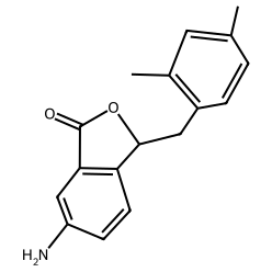 Cc1ccc(CC2OC(=O)c3cc(N)ccc32)c(C)c1